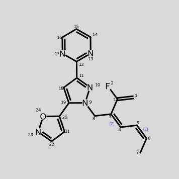 C=C(F)/C(=C\C=C/C)Cn1nc(-c2ncccn2)cc1-c1ccno1